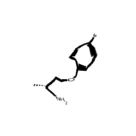 C[C@@H](N)COc1ccc(Br)cc1